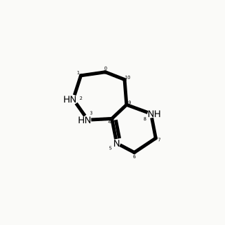 C1CNNC2=NCCNC2C1